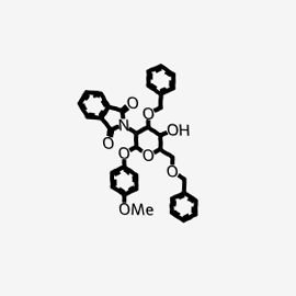 COc1ccc(OC2OC(COCc3ccccc3)C(O)C(OCc3ccccc3)C2N2C(=O)c3ccccc3C2=O)cc1